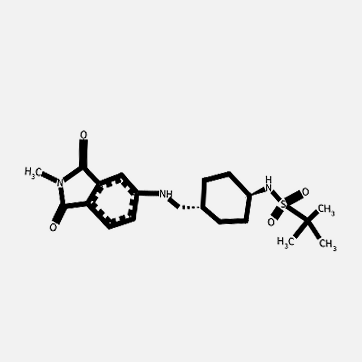 CN1C(=O)c2ccc(NC[C@H]3CC[C@H](NS(=O)(=O)C(C)(C)C)CC3)cc2C1=O